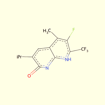 Cc1c2cc(C(C)C)c(=O)nc-2[nH]c(C(F)(F)F)c1F